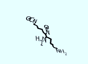 NCCCCCC(N)C(CCCCCN=C=O)N=C=O